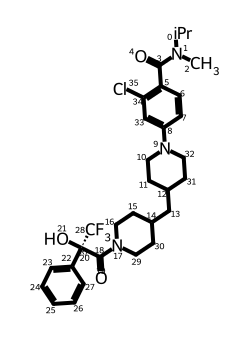 CC(C)N(C)C(=O)c1ccc(N2CCC(CC3CCN(C(=O)[C@](O)(c4ccccc4)C(F)(F)F)CC3)CC2)cc1Cl